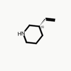 C=C[C@@H]1CCCNC1